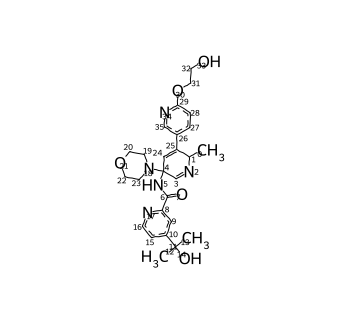 CC1N=CC(NC(=O)c2cc(C(C)(C)O)ccn2)(N2CCOCC2)C=C1c1ccc(OCCO)nc1